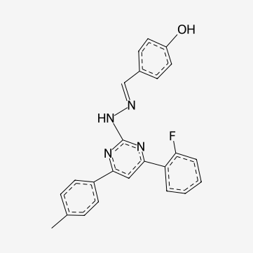 Cc1ccc(-c2cc(-c3ccccc3F)nc(N/N=C/c3ccc(O)cc3)n2)cc1